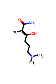 CN(C)CCC/C(O)=C(\C#N)C(N)=O